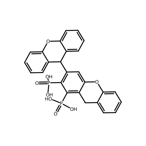 O=P(O)(O)c1c(C2c3ccccc3Oc3ccccc32)cc2c(c1P(=O)(O)O)[CH]c1ccccc1O2